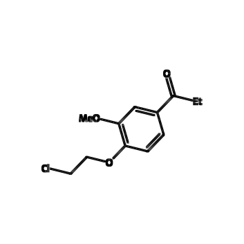 CCC(=O)c1ccc(OCCCl)c(OC)c1